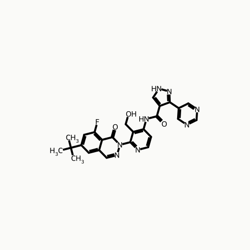 CC(C)(C)c1cc(F)c2c(=O)n(-c3nccc(NC(=O)c4c[nH]nc4-c4cncnc4)c3CO)ncc2c1